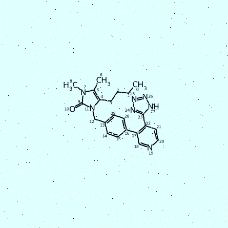 CCCCc1c(C)n(C)c(=O)n1Cc1ccc(-c2cnccc2-c2nnn[nH]2)cc1